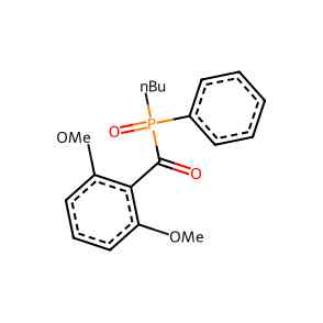 CCCCP(=O)(C(=O)c1c(OC)cccc1OC)c1ccccc1